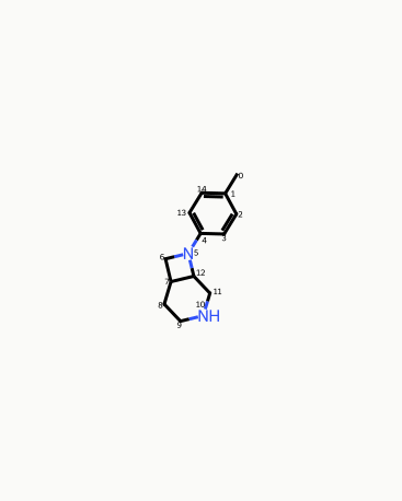 Cc1ccc(N2CC3CCNCC32)cc1